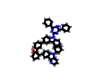 c1ccc(C2=NC(n3c4ccccc4c4cc(-c5ccc6oc7cccc(-c8ccc9c(c8)c8ncccc8n9-c8ccccc8)c7c6c5)ccc43)=NC(c3ccccc3)N2)cc1